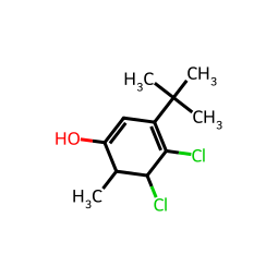 CC1C(O)=CC(C(C)(C)C)=C(Cl)C1Cl